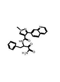 Cn1cc(C(=O)NC(Cc2ccccc2)C(=O)C(N)=O)c(-c2ccc3cccnc3c2)n1